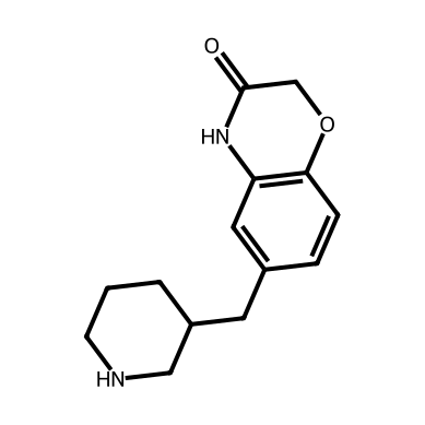 O=C1COc2ccc(CC3CCCNC3)cc2N1